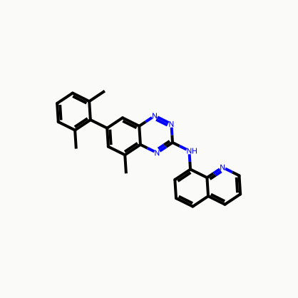 Cc1cccc(C)c1-c1cc(C)c2nc(Nc3cccc4cccnc34)nnc2c1